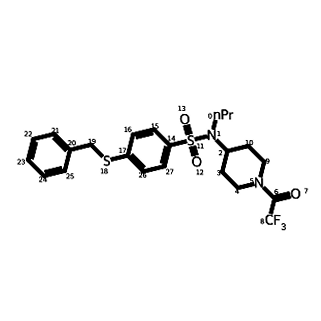 CCCN(C1CCN(C(=O)C(F)(F)F)CC1)S(=O)(=O)c1ccc(SCc2ccccc2)cc1